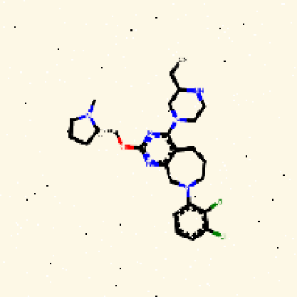 CN1CCC[C@H]1COc1nc2c(c(N3CCNC(CC#N)C3)n1)CCCN(c1cccc(Cl)c1Cl)C2